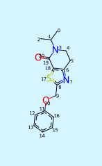 CC(C)N1CCc2nc(COc3ccccc3)sc2C1=O